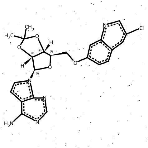 CC1(C)O[C@@H]2[C@H](O1)[C@@H](COc1ccc3cc(Cl)cnc3c1)O[C@H]2n1ccc2c(N)ncnc21